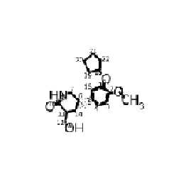 COc1ccc([C@H]2CNC(=O)C(CO)C2)cc1OC1CCCC1